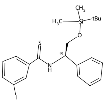 CC(C)(C)[Si](C)(C)OC[C@H](NC(=S)c1cccc(I)c1)c1ccccc1